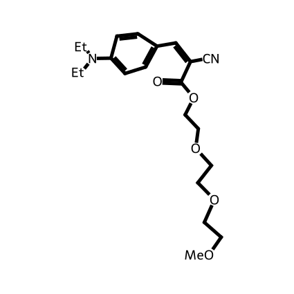 CCN(CC)c1ccc(/C=C(/C#N)C(=O)OCCOCCOCCOC)cc1